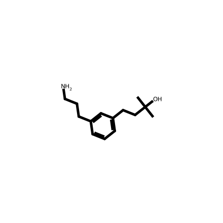 CC(C)(O)CCc1cccc(CCCN)c1